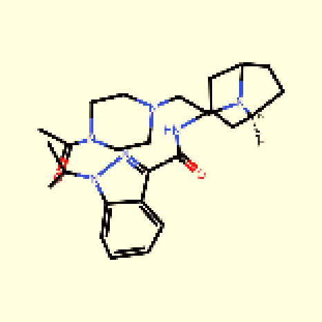 CC(=O)N1CCN(CCN2C3CC[C@H]2CC(NC(=O)c2nn(C(C)C)c4ccccc24)C3)CC1